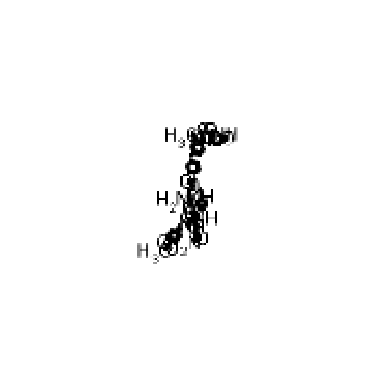 Cn1c(=O)n(C2CCC(=O)NC2=O)c2ccc(C[C@H]3CC[C@@H](CC(=O)N4CC[C@H]5CC[C@@H](C(=O)NC(CCC(N)=O)C(=O)NCc6ccc(S(C)(=O)=O)cc6)N5C(=O)[C@@H](N)C4)CC3)cc21